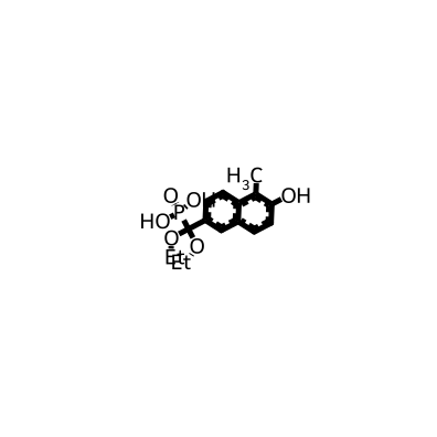 CCOC(OCC)(c1ccc2c(C)c(O)ccc2c1)P(=O)(O)O